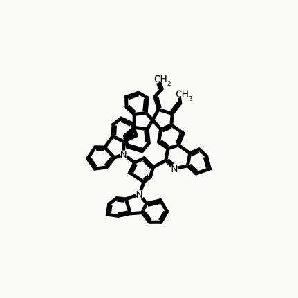 C=C/C=C1\C(=C/C)c2cc3c(cc2C12c1ccccc1-c1ccccc12)c(-c1cc(-n2c4ccccc4c4ccccc42)cc(-n2c4ccccc4c4ccccc42)c1)nc1ccccc13